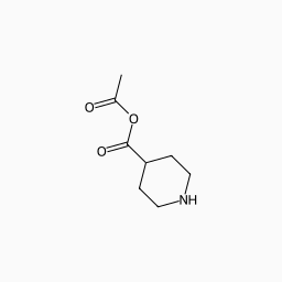 CC(=O)OC(=O)C1CCNCC1